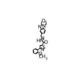 COc1ccccc1-c1cc(C(=O)N/N=C/c2ccc3c(c2)nc2n3CCOC2)sn1